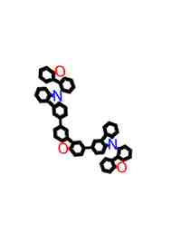 c1ccc2c(c1)oc1cccc(-n3c4ccccc4c4cc(-c5ccc6oc7ccc(-c8ccc9c(c8)c8ccccc8n9-c8cccc9oc%10ccccc%10c89)cc7c6c5)ccc43)c12